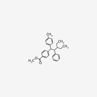 CCC(CC)C(c1ccccc1)C(c1ccc(C)cc1)c1ccc(C(=O)OC)cc1